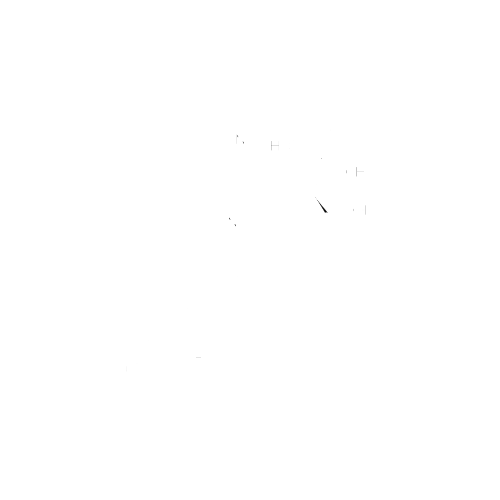 CC(C)(C)[C@@H](CO)C(C#N)c1ccc(Cc2cccc(Cl)c2F)cn1